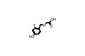 O=C(O)COCc1ccc(O)cc1F